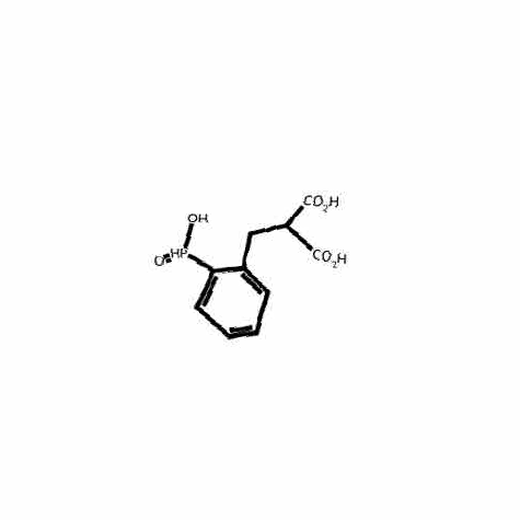 O=C(O)C(Cc1ccccc1[PH](=O)O)C(=O)O